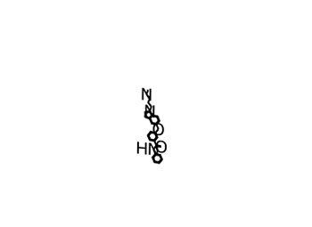 CN(C)CCCn1ccc2cc(Oc3cccc(C(=O)Nc4ccccc4)c3)ccc21